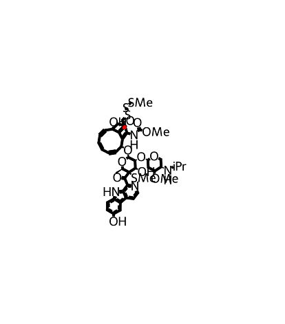 COC(=O)NC1=C2/C(=C/CSSSC)[C@](O)(C#C/C=C\C#C[C@@H]2O[C@@H]2O[C@H](C)[C@@](SC)(C(=O)c3nccc4c3[nH]c3ccc(O)cc34)[C@H](O)[C@H]2O[C@H]2C[C@H](OC)[C@@H](NC(C)C)CO2)CC1=O